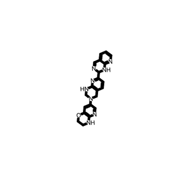 C1=NC(c2ccc3c(n2)NCN(c2cnc4c(c2)OCCN4)C3)Nc2ncccc21